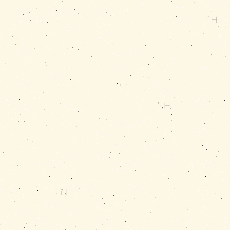 Cc1ccc(NC(=O)c2ccc(CN3CCCCC3)cc2)cc1